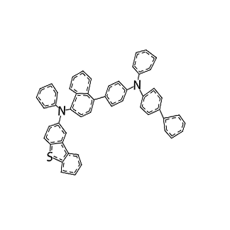 c1ccc(-c2ccc(N(c3ccccc3)c3ccc(-c4ccc(N(c5ccccc5)c5ccc6sc7ccccc7c6c5)c5ccccc45)cc3)cc2)cc1